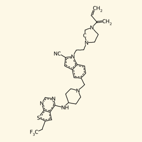 C=CC(=C)N1CCN(CCn2c(C#N)cc3cc(CN4CCC(Nc5ncnc6sc(CC(F)(F)F)cc56)CC4)ccc32)CC1